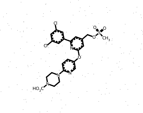 CS(=O)(=O)OCc1cc(Oc2ccc(N3CCN(C(=O)O)CC3)nc2)nc(-c2cc(Cl)cc(Cl)c2)c1